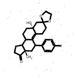 C[C@]12CC(c3ccc(I)cc3)C3=C4CCC5(C[C@]4(O)CCC3C1CCC2=O)OCCO5